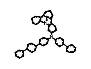 c1ccc(-c2ccc(-c3ccc(N(c4ccc(-c5ccccc5)cc4)c4ccc5c6cccc7c8ccccc8n(c5c4)c76)cc3)cc2)cc1